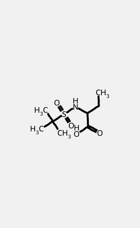 CCC(NS(=O)(=O)C(C)(C)C)C(=O)O